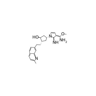 CO/C(N)=C1\C=CN([C@@H]2C[C@H](CCc3ccc4ccc(C)nc4c3)[C@@H](O)C2)C1=N